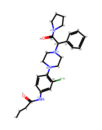 CCCC(=O)Nc1ccc(N2CCN(C(C(=O)N3CCCC3)c3ccccc3)CC2)c(F)c1